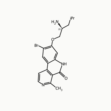 Cc1nccc2c1c(=O)[nH]c1cc(OC[C@@H](N)CC(C)C)c(Br)cc12